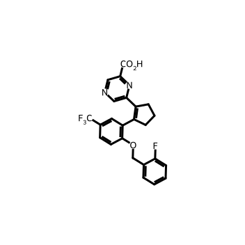 O=C(O)c1cncc(C2=C(c3cc(C(F)(F)F)ccc3OCc3ccccc3F)CCC2)n1